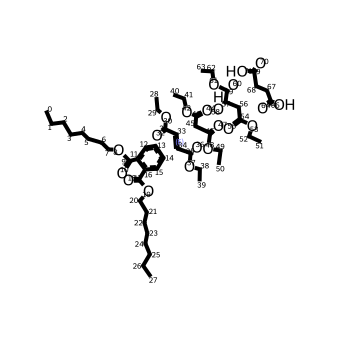 CCCCCCCCOC(=O)c1ccccc1C(=O)OCCCCCCCC.CCOC(=O)/C=C/C(=O)OCC.CCOC(=O)CC(=O)OCC.CCOC(=O)CC(O)C(=O)OCC.O=C(O)CCC(=O)O